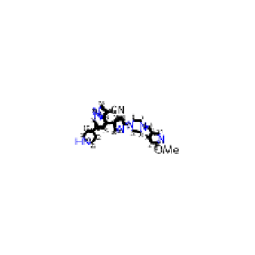 COc1ccc(CN2CCN(c3ccc(-c4cc(C5=CCNCC5)cn5ncc(C#N)c45)cn3)CC2)cn1